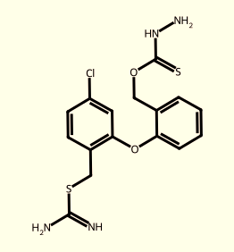 N=C(N)SCc1ccc(Cl)cc1Oc1ccccc1COC(=S)NN